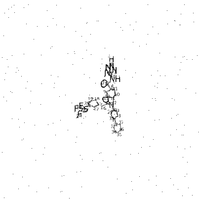 O=C(Nc1nn[nH]n1)c1ccc(CN(C(=O)Cc2cccc(SC(F)(F)F)c2)c2ccc(C3CCCCC3)cc2)cc1